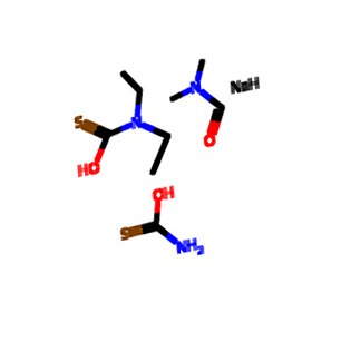 CCN(CC)C(O)=S.CN(C)C=O.NC(O)=S.[NaH]